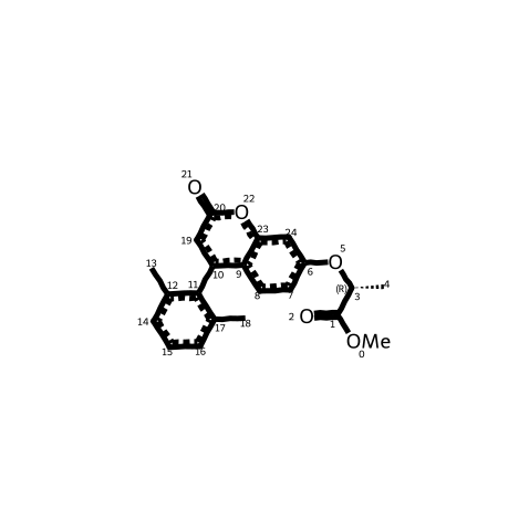 COC(=O)[C@@H](C)Oc1ccc2c(-c3c(C)cccc3C)cc(=O)oc2c1